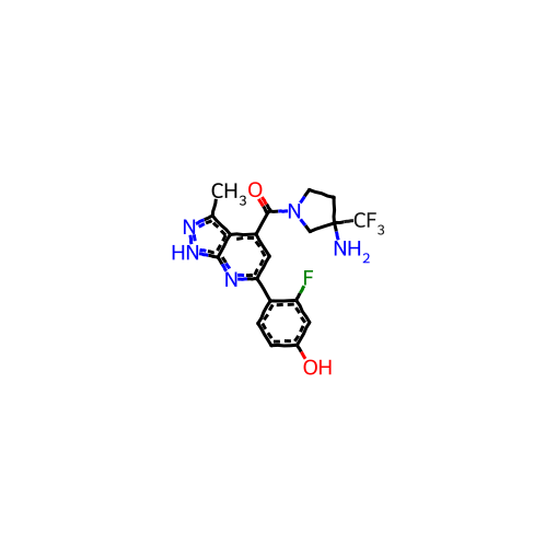 Cc1n[nH]c2nc(-c3ccc(O)cc3F)cc(C(=O)N3CCC(N)(C(F)(F)F)C3)c12